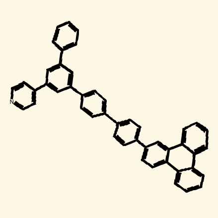 c1ccc(-c2cc(-c3ccncc3)cc(-c3ccc(-c4ccc(-c5ccc6c7ccccc7c7ccccc7c6c5)cc4)cc3)c2)cc1